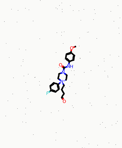 COc1ccc(NC(=O)N2CC[N+](CCCC=O)(c3ccc(F)cc3)CC2)cc1